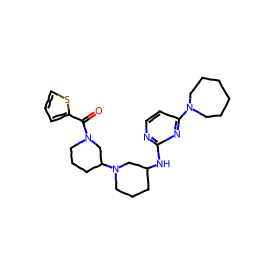 O=C(c1cccs1)N1CCCC(N2CCCC(Nc3nccc(N4CCCCCC4)n3)C2)C1